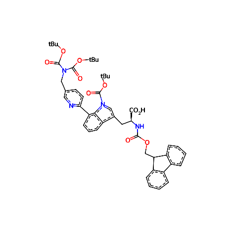 CC(C)(C)OC(=O)N(Cc1ccc(-c2cccc3c(C[C@H](NC(=O)OCC4c5ccccc5-c5ccccc54)C(=O)O)cn(C(=O)OC(C)(C)C)c23)nc1)C(=O)OC(C)(C)C